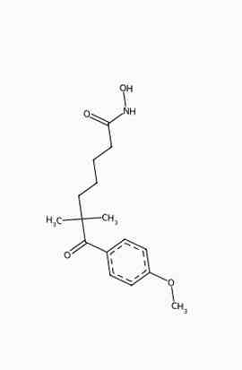 COc1ccc(C(=O)C(C)(C)CCCCC(=O)NO)cc1